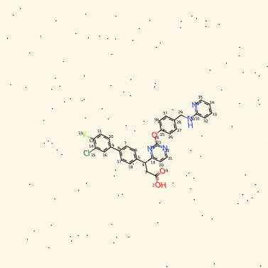 O=C(O)CC(c1ccc(-c2ccc(F)c(Cl)c2)cc1)c1ccnc(Oc2ccc(CNc3ccccn3)cc2)n1